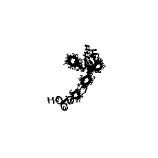 O=C(O)COc1ccc(Oc2ccc(-c3c4cccc(C(F)(F)F)c4nn3Cc3ccccc3)cc2)cc1